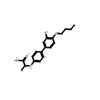 CCCCOc1ccc(-c2ccc(OC(C)C(=O)O)cc2)cc1F